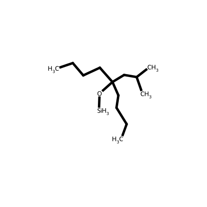 CCCCC(CCCC)(CC(C)C)O[SiH3]